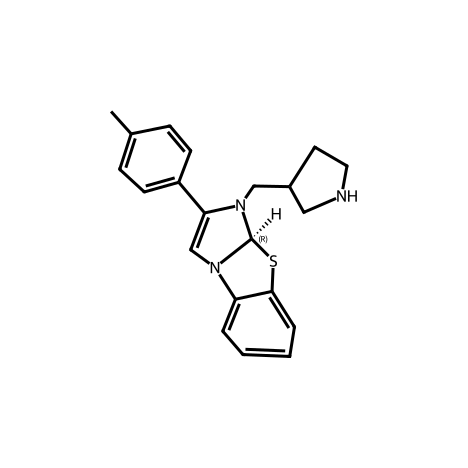 Cc1ccc(C2=CN3c4ccccc4S[C@@H]3N2CC2CCNC2)cc1